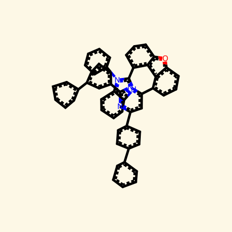 c1ccc(-c2ccc(-c3cc(-c4cccc5oc6cccc(-c7nc8ccccc8n7-c7ccccc7)c6c45)nc(-c4cccc(-c5ccccc5)c4)n3)cc2)cc1